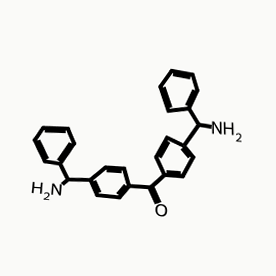 NC(c1ccccc1)c1ccc(C(=O)c2ccc(C(N)c3ccccc3)cc2)cc1